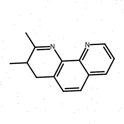 CC1=Nc2c(ccc3cccnc23)CC1C